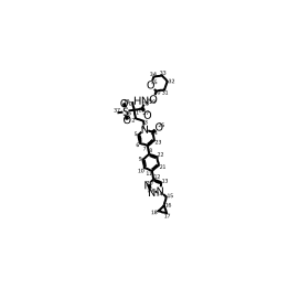 CC(CCn1ccc(-c2ccc(-c3cn(CC4CC4)nn3)cc2)cc1=O)(C(=O)NOC1CCCCO1)S(C)(=O)=O